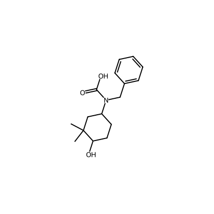 CC1(C)CC(N(Cc2ccccc2)C(=O)O)CCC1O